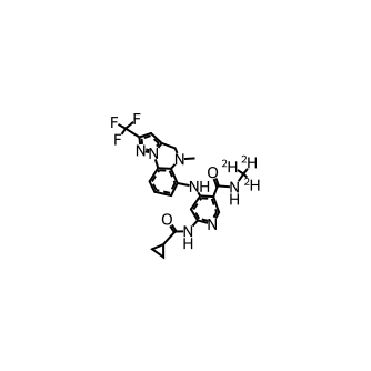 [2H]C([2H])([2H])NC(=O)c1cnc(NC(=O)C2CC2)cc1Nc1cccc2c1N(C)Cc1cc(C(F)(F)F)nn1-2